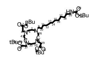 CCCCOC(=O)CN1CCN(CCCCCCCCCCCCNC(=O)OC(C)(C)C)CCN(CC(=O)OC(C)(C)C)CCN(CC(=O)OC(C)(C)C)CC1